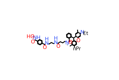 CCCc1cc2c(cc1C)C(c1ccccc1C(=O)N(C)CCCC(=O)NCCCNC(=O)c1ccc(C(=O)NO)cc1)C1C=C(C)/C(=N/CC)C=C1O2